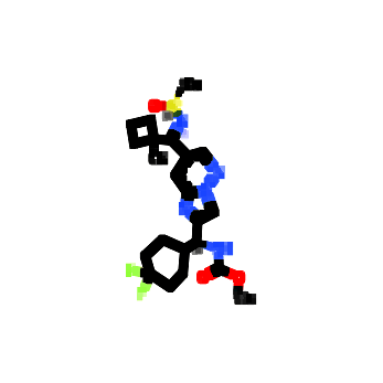 CC(C)(C)OC(=O)N[C@H](c1cn2ncc(/C(=N/[S@+]([O-])C(C)(C)C)C3(C#N)CCC3)cc2n1)C1CCC(F)(F)CC1